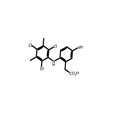 CCCc1ccc(Nc2c(Cl)c(C)c(Cl)c(C)c2CC)c(CC(=O)O)c1